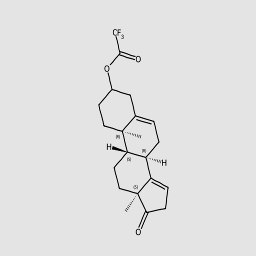 C[C@]12CC[C@H]3[C@@H](CC=C4CC(OC(=O)C(F)(F)F)CC[C@@]43C)C1=CCC2=O